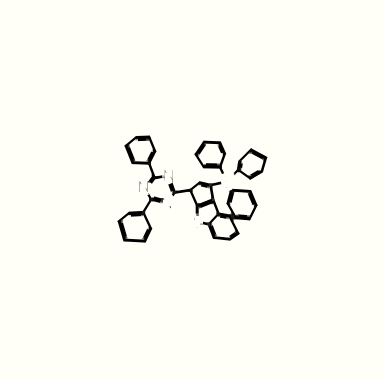 C1=C([Si](c2ccccc2)(c2ccccc2)c2ccccc2)c2c(sc3ccccc23)C1c1nc(-c2ccccc2)nc(-c2ccccc2)n1